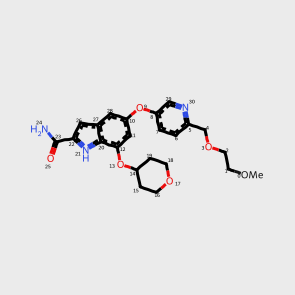 COCCOCc1ccc(Oc2cc(OC3CCOCC3)c3[nH]c(C(N)=O)cc3c2)cn1